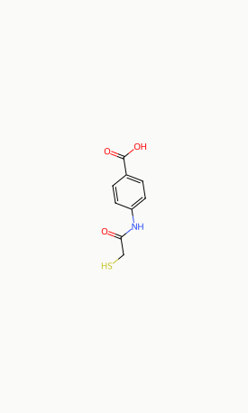 O=C(CS)Nc1ccc(C(=O)O)cc1